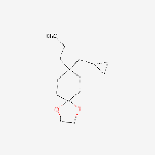 O=CCCC1(CC2CC2)CCC2(CC1)OCCO2